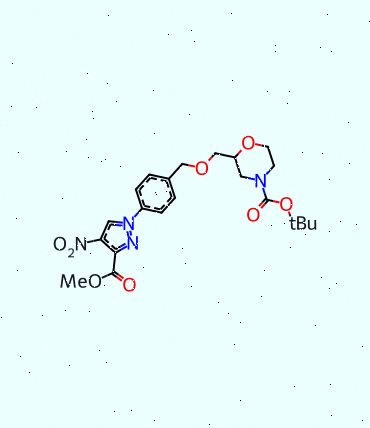 COC(=O)c1nn(-c2ccc(COCC3CN(C(=O)OC(C)(C)C)CCO3)cc2)cc1[N+](=O)[O-]